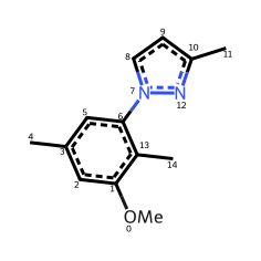 COc1cc(C)cc(-n2ccc(C)n2)c1C